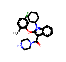 Cc1ccc(F)cc1Oc1c(C(=O)N2CCNCC2)c2ccccc2n1C1CCCCC1